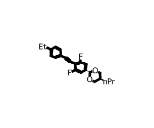 CCC[C@H]1CO[C@H](c2cc(F)c(C#Cc3ccc(CC)cc3)c(F)c2)OC1